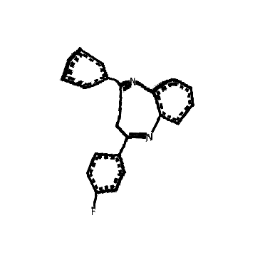 Fc1ccc(C2=Nc3ccccc3N=C(c3ccccc3)C2)cc1